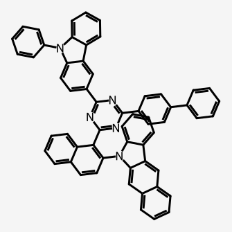 c1ccc(-c2ccc(-c3nc(-c4ccc5c(c4)c4ccccc4n5-c4ccccc4)nc(-c4c(-n5c6ccccc6c6cc7ccccc7cc65)ccc5ccccc45)n3)cc2)cc1